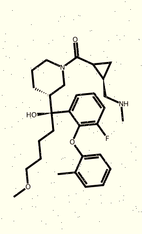 CNC[C@@H]1CC1C(=O)N1CCC[C@@H]([C@@](O)(CCCCOC)c2cccc(F)c2Oc2ccccc2C)C1